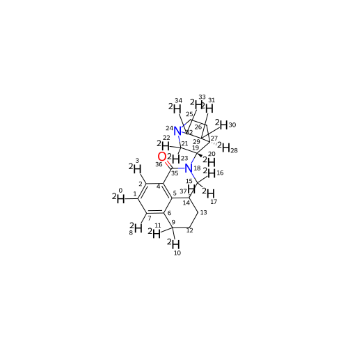 [2H]c1c([2H])c2c3c(c1[2H])C([2H])([2H])CC[C@@H]3C([2H])([2H])N([C@]1([2H])C([2H])([2H])N3CC[C@]1([2H])C([2H])([2H])C3([2H])[2H])C2=O